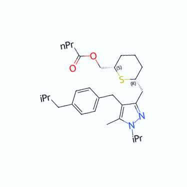 CCCC(=O)OC[C@@H]1CCC[C@H](Cc2nn(C(C)C)c(C)c2Cc2ccc(CC(C)C)cc2)S1